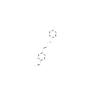 C/C(=C\COc1ccc(C)cc1)c1ccc(C=O)cc1